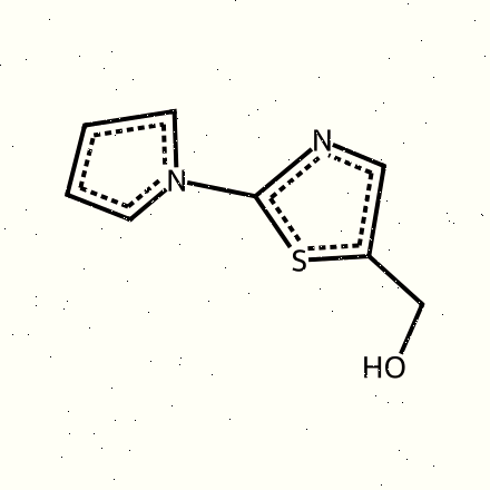 OCc1cnc(-n2cccc2)s1